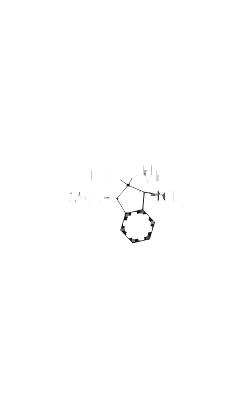 CO[C@@H]1c2ccccc2[C@](C)(N)C1(C)C.Cl